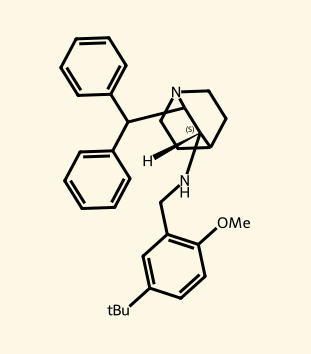 COc1ccc(C(C)(C)C)cc1CN[C@H]1C2CCN(CC2)C1C(c1ccccc1)c1ccccc1